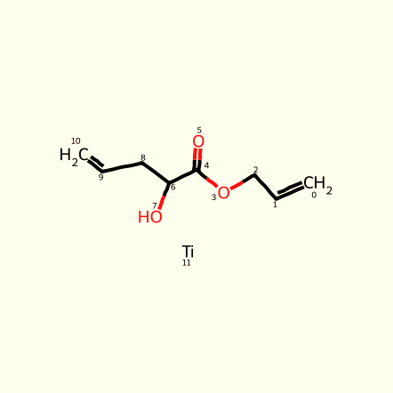 C=CCOC(=O)C(O)CC=C.[Ti]